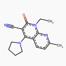 CCn1c(=O)c(C#N)c(N2CCCC2)c2ccc(C)nc21